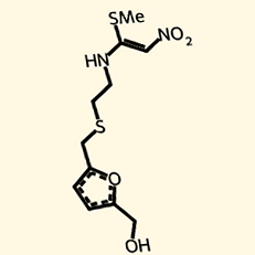 CSC(=C[N+](=O)[O-])NCCSCc1ccc(CO)o1